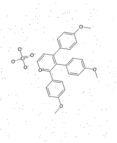 COc1ccc(-c2cc[o+]c(-c3ccc(OC)cc3)c2-c2ccc(OC)cc2)cc1.[O-][Cl+3]([O-])([O-])[O-]